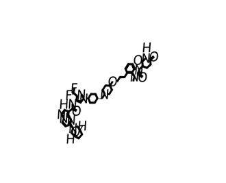 Cn1c(=O)n(C2CCC(=O)NC2=O)c2cccc(CCCOC3CCN(C[C@H]4CC[C@H](n5cc(NC(=O)c6cnn7ccc(N8C[C@H]9CC[C@@H](C8)O9)nc67)c(C(F)F)n5)CC4)CC3)c21